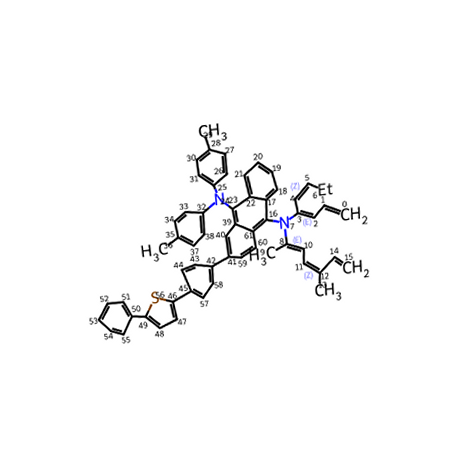 C=C/C=C(\C=C/CC)N(/C(C)=C/C=C(/C)C=C)c1c2ccccc2c(N(c2ccc(C)cc2)c2ccc(C)cc2)c2cc(-c3ccc(-c4ccc(-c5ccccc5)s4)cc3)ccc12